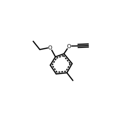 C#COc1cc(C)ccc1OCC